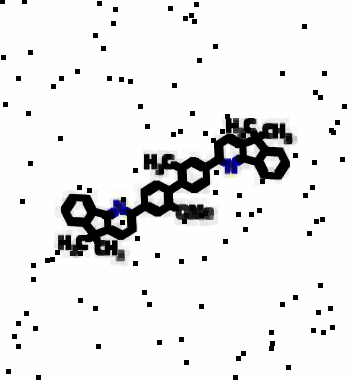 COc1cc(-c2ccc3c(n2)-c2ccccc2C3(C)C)ccc1-c1ccc(-c2ccc3c(n2)-c2ccccc2C3(C)C)cc1C